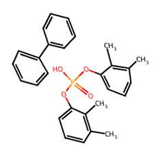 Cc1cccc(OP(=O)(O)Oc2cccc(C)c2C)c1C.c1ccc(-c2ccccc2)cc1